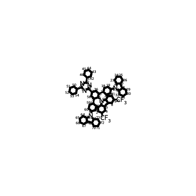 FC(F)(F)c1ccc2c(c1)c1cc(C(F)(F)F)ccc1n2-c1c(-c2ccc(-n3c4ccccc4c4ccccc43)cc2)cc(-c2nc(-c3ccccc3)nc(-c3ccccc3)n2)cc1-c1ccc(-n2c3ccccc3c3ccccc32)cc1